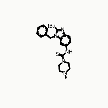 CN1CCN(C(=S)Nc2ccc3nc(C(C)(C)C)n(Cc4ccccc4)c3c2)CC1